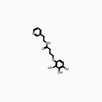 CCCc1c(OCCCC(=O)NCCc2cccnc2)ccc(C(C)=O)c1O